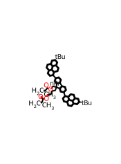 C=C(C)C(=O)OCCCCC1(C(CCC)OC(=O)C(=C)C)c2cc(-c3ccc4ccc5cc(C(C)(C)C)cc6ccc3c4c56)ccc2-c2ccc(-c3ccc4ccc5cc(C(C)(C)C)cc6ccc3c4c56)cc21